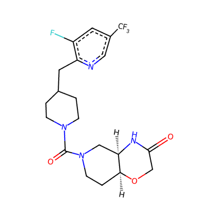 O=C1CO[C@H]2CCN(C(=O)N3CCC(Cc4ncc(C(F)(F)F)cc4F)CC3)C[C@H]2N1